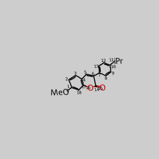 COc1ccc2cc(-c3ccc(C(C)C)cc3)c(=O)oc2c1